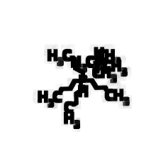 CCCC[PH](CCCC)(CCCC)CCCC.C[PH](C)(C)C